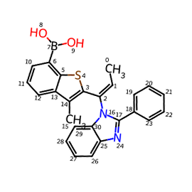 C/C=C(\c1sc2c(B(O)O)cccc2c1C)n1c(-c2ccccc2)nc2ccccc21